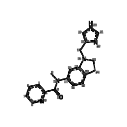 CN(C(=O)c1ccccn1)c1ccc2c(c1)N(Cc1c[nH]cn1)CC2